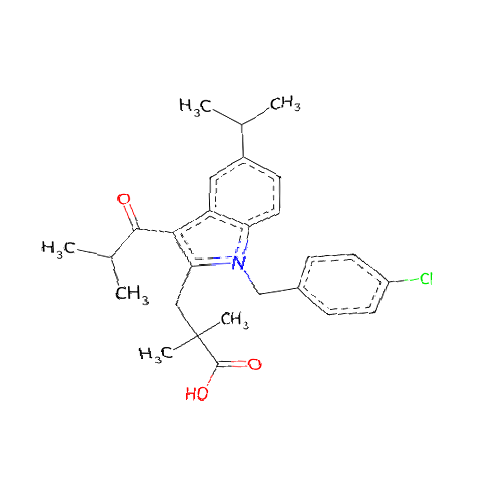 CC(C)C(=O)c1c(CC(C)(C)C(=O)O)n(Cc2ccc(Cl)cc2)c2ccc(C(C)C)cc12